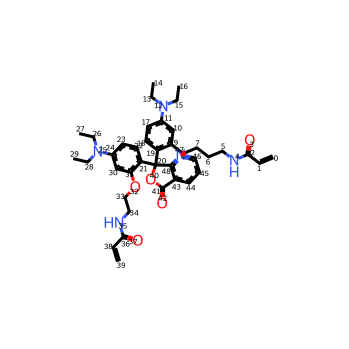 C=CC(=O)NCCCCc1cc(N(CC)CC)ccc1C1(c2ccc(N(CC)CC)cc2OCCNC(=O)C=C)OC(=O)c2cccnc21